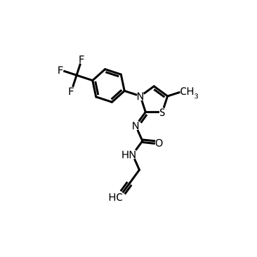 C#CCNC(=O)N=c1sc(C)cn1-c1ccc(C(F)(F)F)cc1